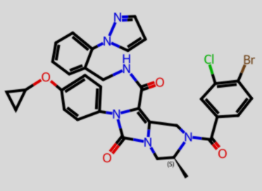 C[C@H]1Cn2c(c(C(=O)NCc3ccccc3-n3cccn3)n(-c3ccc(OC4CC4)cc3)c2=O)CN1C(=O)c1ccc(Br)c(Cl)c1